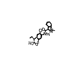 CCC(C(=O)O)c1cc(Cl)c(NC(=O)c2nn(C)c3ccccc23)cc1F